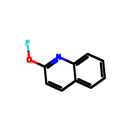 FOc1ccc2ccccc2n1